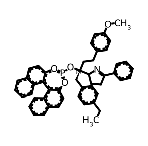 CCc1ccc(C[C@](CCc2ccc(OC)cc2)(Op2oc3ccc4ccccc4c3c3c(ccc4ccccc43)o2)C2CCC(c3ccccc3)=N2)cc1